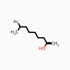 C=C(O)CCCCCC(C)C(C)=O